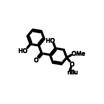 CCCCOC1(OC)C=CC(C(=O)c2ccccc2O)=C(O)C1